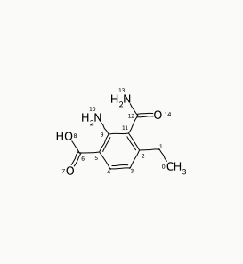 CCc1ccc(C(=O)O)c(N)c1C(N)=O